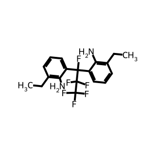 CCc1cccc(C(F)(c2cccc(CC)c2N)C(F)(F)C(F)(F)F)c1N